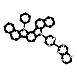 c1ccc(-n2c3c4ccccc4ccc3c3ccc4c(c5ccc6ccccc6c5n4-c4cnc(-c5ncc6nccnc6n5)nc4)c32)cc1